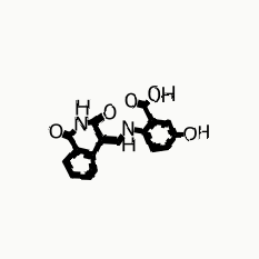 O=C1NC(=O)c2ccccc2/C1=C/Nc1ccc(O)cc1C(=O)O